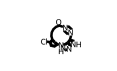 O=C1CCCCc2cc(ccc2Cl)Nc2ncnc3[nH]cc(c23)CN2CCN1CC2